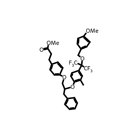 COC(=O)CCc1ccc(OCC(Cc2ccccc2)Oc2ccc(C(OCc3ccc(OC)cc3)(C(F)(F)F)C(F)(F)F)cc2C)cc1